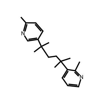 Cc1ccc(C(C)(C)CCC(C)(C)c2cccnc2C)cn1